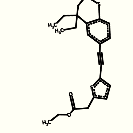 CCOC(=O)Cc1ccc(C#Cc2ccc3c(c2)C(CC)(CC)CCS3)s1